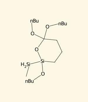 CCCCOC1(OCCCC)CCC[Si](OCCCC)([SiH2]C)O1